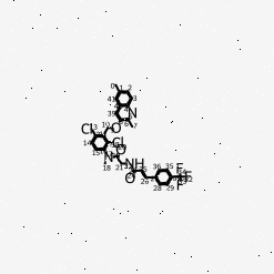 Cc1ccc2nc(C)c(OCc3c(Cl)ccc(N(C)C(=O)CNC(=O)/C=C/c4ccc(C(F)(F)F)cc4)c3Cl)cc2c1